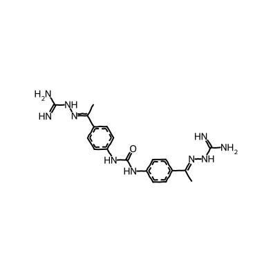 CC(=NNC(=N)N)c1ccc(NC(=O)Nc2ccc(C(C)=NNC(=N)N)cc2)cc1